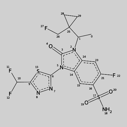 CC(n1c(=O)n(-c2nnc(C(F)F)s2)c2cc(S(N)(=O)=O)c(F)cc21)C1(CF)CC1